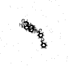 C[C@]12CCC(=O)N[C@@H]1CC[C@@H]1[C@@H]2CC[C@]2(C)C(CNC(=O)c3ccc(OCc4ccccc4)cc3)CC[C@@H]12